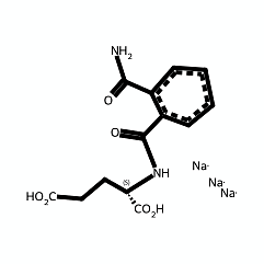 NC(=O)c1ccccc1C(=O)N[C@@H](CCC(=O)O)C(=O)O.[Na].[Na].[Na]